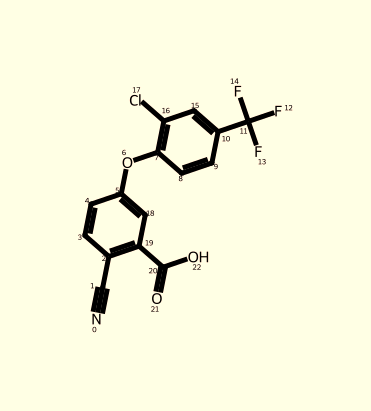 N#Cc1ccc(Oc2ccc(C(F)(F)F)cc2Cl)cc1C(=O)O